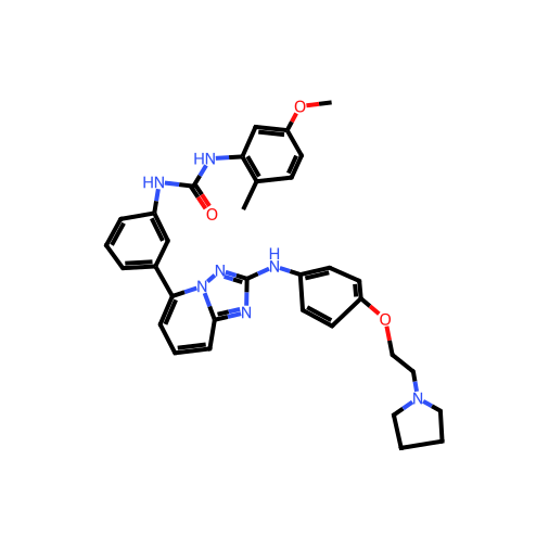 COc1ccc(C)c(NC(=O)Nc2cccc(-c3cccc4nc(Nc5ccc(OCCN6CCCC6)cc5)nn34)c2)c1